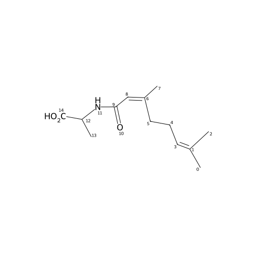 CC(C)=CCCC(C)=CC(=O)NC(C)C(=O)O